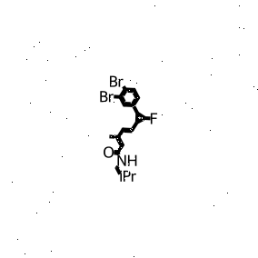 CC(C=CC1C(F)C1c1ccc(Br)c(Br)c1)=CC(=O)NCC(C)C